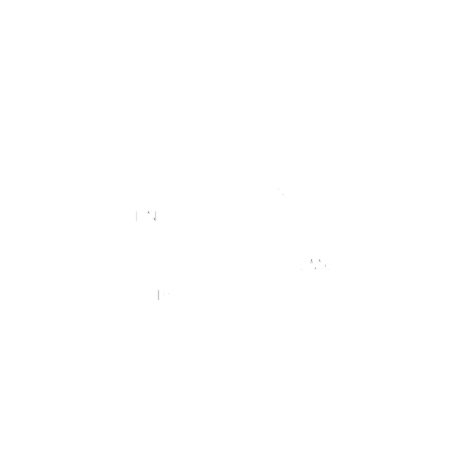 COc1cc(Br)c2[nH]ccc2c1Cl